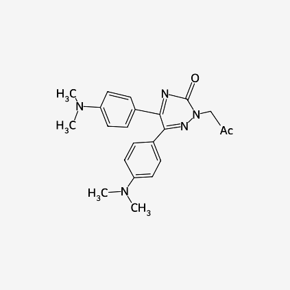 CC(=O)Cn1nc(-c2ccc(N(C)C)cc2)c(-c2ccc(N(C)C)cc2)nc1=O